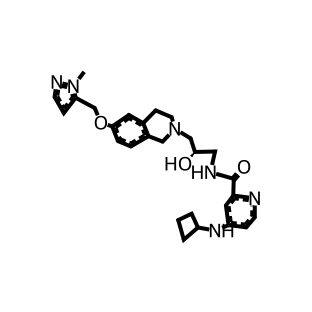 Cn1nccc1COc1ccc2c(c1)CCN(C[C@@H](O)CNC(=O)c1cc(NC3CCC3)ccn1)C2